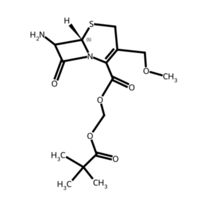 COCC1=C(C(=O)OCOC(=O)C(C)(C)C)N2C(=O)C(N)[C@@H]2SC1